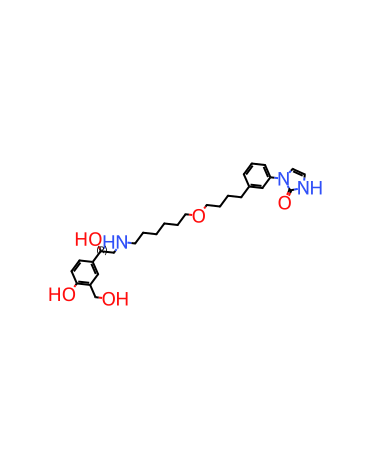 O=c1[nH]ccn1-c1cccc(CCCCOCCCCCCNC[C@H](O)c2ccc(O)c(CO)c2)c1